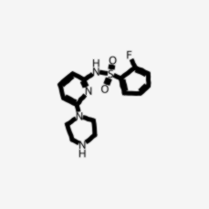 O=S(=O)(Nc1cccc(N2CCNCC2)n1)c1ccccc1F